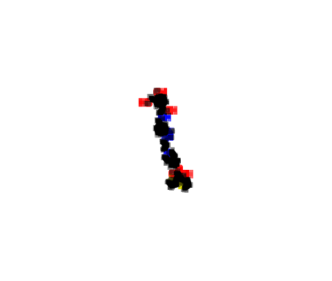 O=C(OC1CC2(CCN(CCCn3nnc4cc(CNCC(O)c5ccc(O)c(CO)c5)ccc43)CC2)C1)C(O)(c1cccs1)c1cccs1